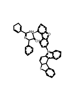 C=C1C(c2ccccc2)N=C(C2=CCCC=C2)N[C@H]1c1cccc2oc3cc(-n4c5c(c6ccccc64)C4c6ccccc6SC4C=C5)ccc3c12